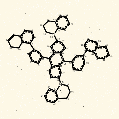 C1=Cc2cccc(-c3cccc(-c4c5ccc(N6CCCc7ccccc76)cc5c(-c5cccc(-c6cccc7ccccc67)c5)c5ccc(N6CCCc7ccccc76)cc45)c3)c2CC1